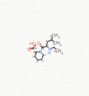 CCNC(CC(C)C)C(=O)N1CCCC[C@@H]1C(=O)O